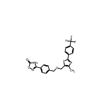 Cc1nc(-c2ccc(C(F)(F)F)cc2)sc1COCc1ccc(-c2noc(=O)[nH]2)cc1